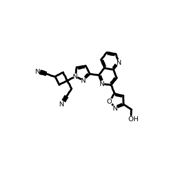 N#CCC1(n2ccc(-c3nc(-c4cc(CO)no4)cc4ncccc34)n2)CC(C#N)C1